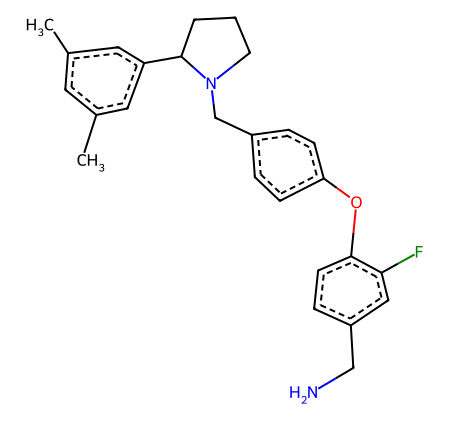 Cc1cc(C)cc(C2CCCN2Cc2ccc(Oc3ccc(CN)cc3F)cc2)c1